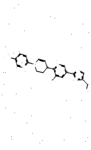 OCc1coc(-c2cnc(C3C=CN(c4ccc(C(F)(F)F)cn4)CC3)c(Cl)c2)n1